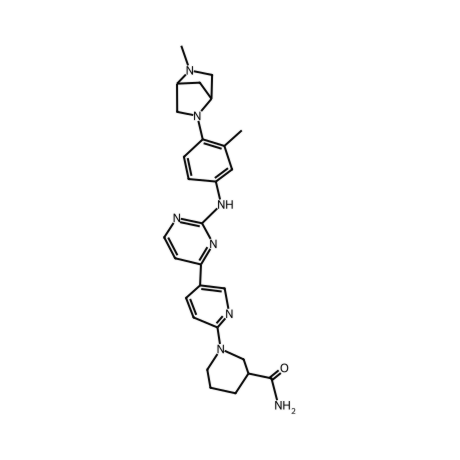 Cc1cc(Nc2nccc(-c3ccc(N4CCCC(C(N)=O)C4)nc3)n2)ccc1N1CC2CC1CN2C